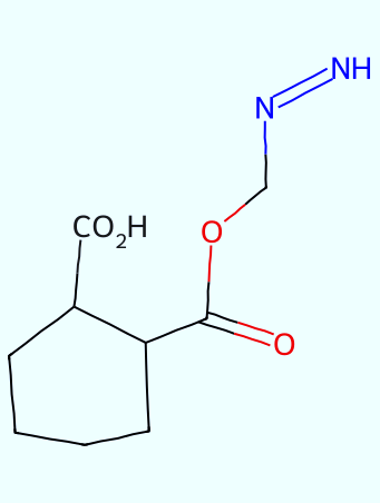 N=NCOC(=O)C1CCCCC1C(=O)O